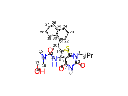 CC(C)Cn1c(=O)n(C)c(=O)c2c(NC(=O)N(C)CCO)c(Cc3cccc4ccccc34)sc21